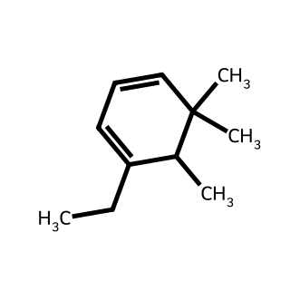 CCC1=CC=CC(C)(C)C1C